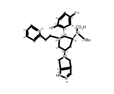 CC(C)(C)N(C(=O)O)[C@H]1C[C@@H](N2Cc3cn[nH]c3C2)CN(CCc2ccccn2)[C@@H]1c1cc(F)ccc1F